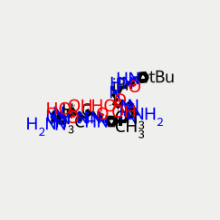 CC(C)CN(CCCNC(=O)Nc1ccc(C(C)(C)C)cc1)C[C@H]1O[C@@H](n2cnc3c(N)nc(CC(C)(C)c4ccc(NC(=O)NCC(C)CN(C)C[C@H]5O[C@@H](n6cnc7c(N)ncnc76)[C@H](O)[C@@H]5O)cc4)nc32)[C@H](O)[C@@H]1O